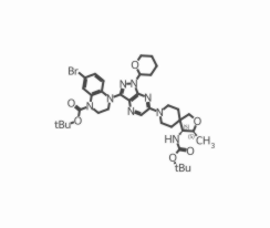 C[C@@H]1OCC2(CCN(c3cnc4c(N5CCN(C(=O)OC(C)(C)C)c6cc(Br)ccc65)nn(C5CCCCO5)c4n3)CC2)[C@@H]1NC(=O)OC(C)(C)C